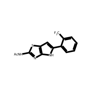 CC(=O)Nc1nc2[nH]c(-c3ccccc3C(F)(F)F)cc2s1